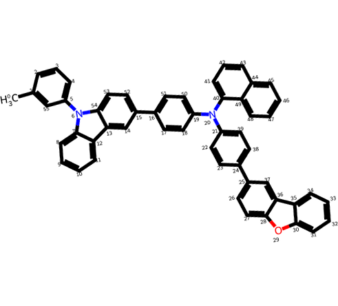 Cc1cccc(-n2c3ccccc3c3cc(-c4ccc(N(c5ccc(-c6ccc7oc8ccccc8c7c6)cc5)c5cccc6ccccc56)cc4)ccc32)c1